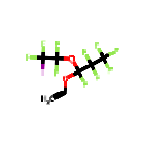 C=COC(F)(OC(F)(F)C(F)(F)I)C(F)(F)C(F)(F)F